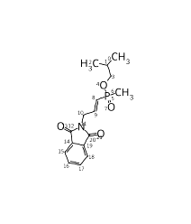 CC(C)COP(C)(=O)/C=C/CN1C(=O)c2ccccc2C1=O